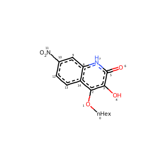 CCCCCCOc1c(O)c(=O)[nH]c2cc([N+](=O)[O-])ccc12